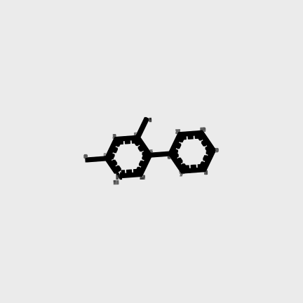 Cc1cc(C)c(-c2[c]cccc2)cn1